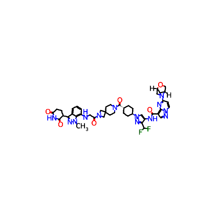 Cn1nc(C2CCC(=O)NC2=O)c2cccc(NCC(=O)N3CC4(CCN(C(=O)[C@H]5CC[C@H](n6cc(NC(=O)c7cnn8ccc(N9C[C@H]%10C[C@@H]9CO%10)nc78)c(C(F)F)n6)CC5)CC4)C3)c21